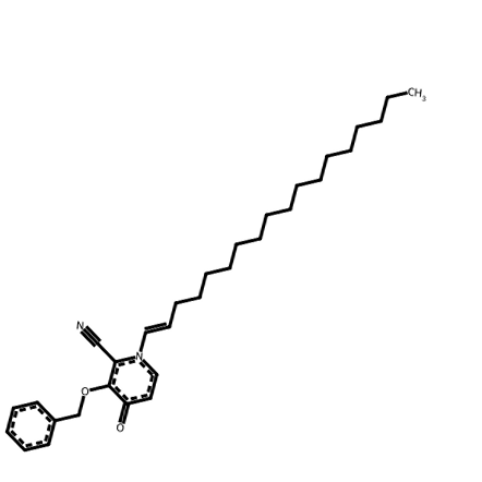 CCCCCCCCCCCCCCCCC=Cn1ccc(=O)c(OCc2ccccc2)c1C#N